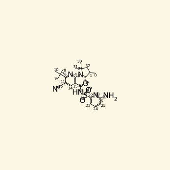 CC1CN(c2nc(C(C)(C)C)c(C#N)cc2C(=O)NS(=O)(=O)c2cccc(N)n2)C(C)(C)C1